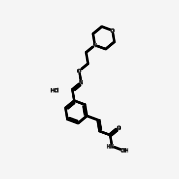 Cl.O=C(C=Cc1cccc(C=NOCCN2CCOCC2)c1)NO